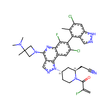 C=C(F)C(=O)N1CC[C@H](n2ncc3c(N4CC(C)(N(C)C)C4)nc4c(F)c(-c5c(C)c(Cl)cc6[nH]ncc56)c(Cl)cc4c32)C[C@H]1CC#N